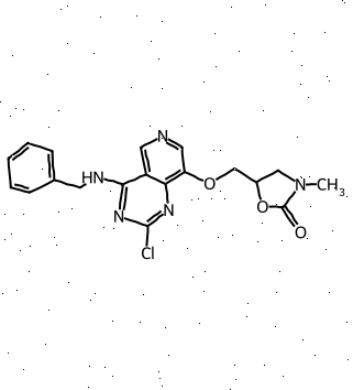 CN1CC(COc2cncc3c(NCc4ccccc4)nc(Cl)nc23)OC1=O